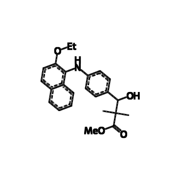 CCOc1ccc2ccccc2c1Nc1ccc(C(O)C(C)(C)C(=O)OC)cc1